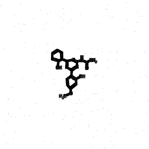 COc1ccc(-c2nc(NC(N)=O)nc(-c3ccccc3O)n2)c(O)c1